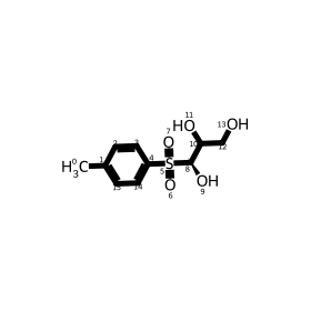 Cc1ccc(S(=O)(=O)[C@H](O)C(O)CO)cc1